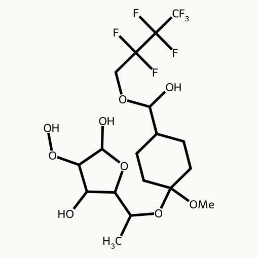 COC1(OC(C)C2OC(O)C(OO)C2O)CCC(C(O)OCC(F)(F)C(F)(F)C(F)(F)F)CC1